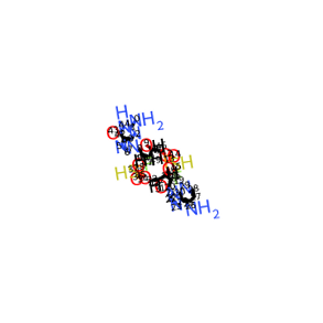 Nc1nc2c(ncn2[C@@H]2O[C@@H]3COP(=O)(S)O[C@H]4[C@H](F)[C@H](n5cnc6c(N)ccnc65)O[C@@H]4CO[P@@](=O)(S)O[C@@H]2[C@H]3F)c(=O)[nH]1